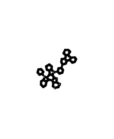 c1ccc(-n2c3ccccc3c3c4c5cncnc5sc4c4c(c5ccccc5n4-c4cccc(-c5ccc6c7ccccc7c7ccccc7c6c5)c4)c32)cc1